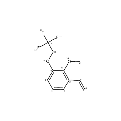 C=Cc1cccc(OCC(F)(F)F)c1OC